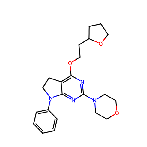 c1ccc(N2CCc3c(OCCC4CCCO4)nc(N4CCOCC4)nc32)cc1